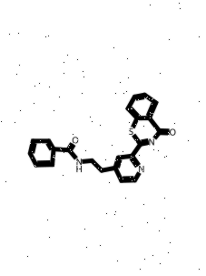 O=C(NCCc1ccnc(-c2nc(=O)c3ccccc3s2)c1)c1ccccc1